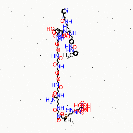 Cc1ccccc1NC(=O)Nc1ccc(CC(=O)N[C@@H](CCCCNC(=O)/C=C/c2cccnc2)C(=O)N[C@@H](CCCC(=O)O)C(=O)NC2(C(=O)NCCOCCOCCNC(=O)CCC(=O)NCCOCCOCCNC(=O)CCC(=O)N[C@@H](CCCCNC(=O)CCN(C=O)C(=O)CC(C)SCCCC(=N)NCCCC(O)(P(=O)(O)O)P(=O)(O)O)C(N)=O)CCCCC2)cc1